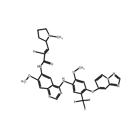 COc1cc2ncnc(Nc3cc(C(F)(F)F)c(Oc4ccn5ncnc5c4)cc3OC)c2cc1NC(=O)/C(F)=C/C1CCCN1C